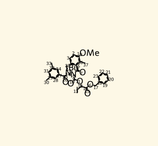 COc1cccc(C(=O)N(C(=O)OC(I)C(=O)OCc2ccccc2)N(C(=O)c2cc(C)cc(C)c2)C(C)(C)C)c1C